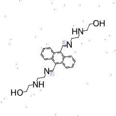 OCCNCC/N=C/c1c2ccccc2c(/C=N/CCNCCO)c2ccccc12